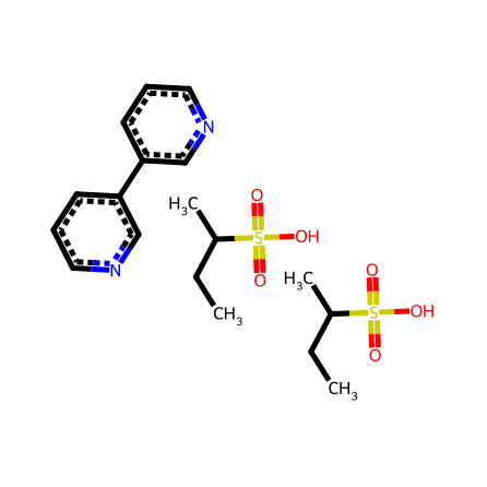 CCC(C)S(=O)(=O)O.CCC(C)S(=O)(=O)O.c1cncc(-c2cccnc2)c1